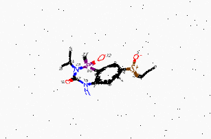 CC[S+]([O-])c1ccc2c(c1)P(C)(=O)N(C(C)C)C(=O)N2